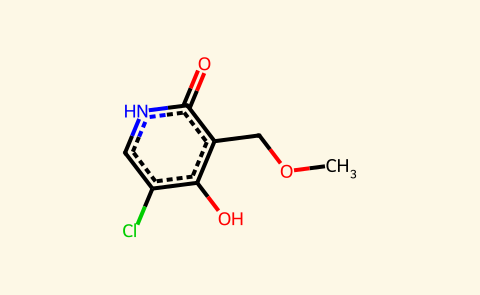 COCc1c(O)c(Cl)c[nH]c1=O